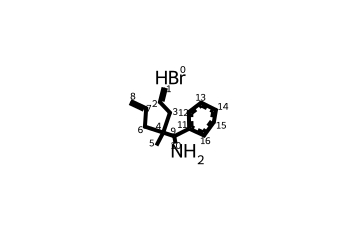 Br.C=CCC(C)(CC=C)C(N)c1ccccc1